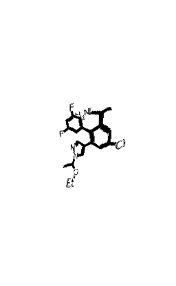 CCOC(C)n1cc(-c2cc(Cl)cc(C(C)N)c2-c2cc(F)cc(F)c2)cn1